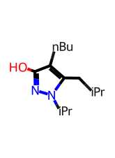 CCCCc1c(O)nn(C(C)C)c1CC(C)C